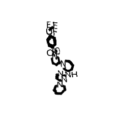 O=S(=O)(c1ccc(OC(F)(F)F)cc1)N1CCCC(N2CCCCC(Nc3nccc(N4CCCCCC4)n3)C2)C1